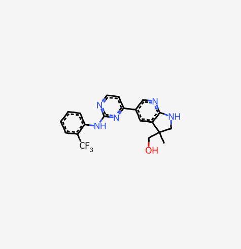 CC1(CO)CNc2ncc(-c3ccnc(Nc4ccccc4C(F)(F)F)n3)cc21